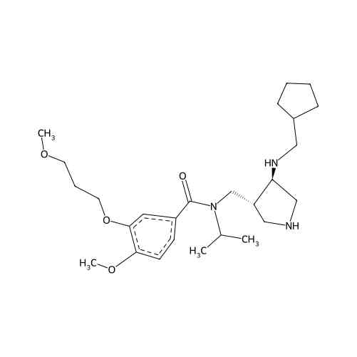 COCCCOc1cc(C(=O)N(C[C@H]2CNC[C@@H]2NCC2CCCC2)C(C)C)ccc1OC